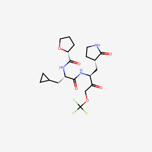 O=C1NCC[C@H]1C[C@H](NC(=O)[C@H](CC1CC1)NC(=O)[C@H]1CCCO1)C(=O)COC(F)(F)F